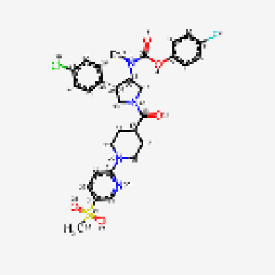 CCN(C(=O)Oc1ccc(F)cc1)[C@H]1CN(C(=O)C2CCN(c3ccc(S(C)(=O)=O)cn3)CC2)C[C@@H]1c1ccc(Cl)cc1